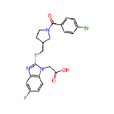 O=C(O)Cn1c(SCC2CCN(C(=O)c3ccc(Br)cc3)C2)nc2cc(F)ccc21